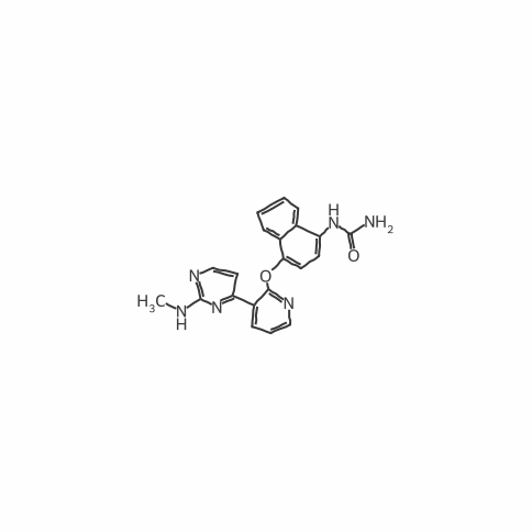 CNc1nccc(-c2cccnc2Oc2ccc(NC(N)=O)c3ccccc23)n1